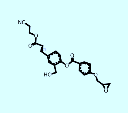 N#CCCOC(=O)/C=C/c1ccc(OC(=O)c2ccc(OCC3CO3)cc2)c(CO)c1